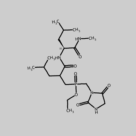 CCOP(=O)(CC(CC(C)C)C(=O)N[C@@H](CC(C)C)C(=O)NC)CN1C(=O)CNC1=O